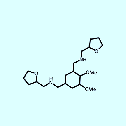 COC1CC(CNCC2CCCO2)CC(CNCC2CCCO2)C1OC